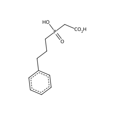 O=C(O)CP(=O)(O)CCCc1ccccc1